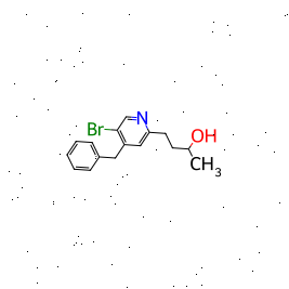 CC(O)CCc1cc(Cc2ccccc2)c(Br)cn1